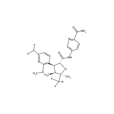 COc1nc(C(F)F)ccc1[C@H]1[C@H](C(=O)Nc2ccc(C(N)=O)nc2)O[C@@](C)(C(F)(F)F)[C@H]1C